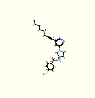 CCCCCCC#Cc1cncc(N2CCC(NC(=O)c3ccc(F)cc3)C2)c1